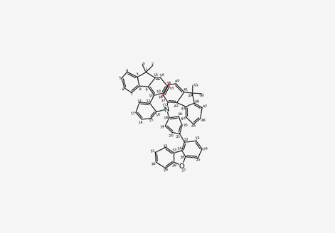 CC1(C)c2ccccc2-c2c(-c3ccccc3N(c3ccc(-c4cccc5oc6ccccc6c45)cc3)c3cccc4c3-c3ccccc3C4(C)C)cccc21